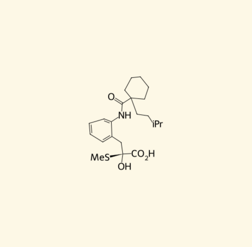 CS[C@@](O)(Cc1ccccc1NC(=O)C1(CCC(C)C)CCCCC1)C(=O)O